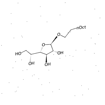 CCCCCCCCCCO[C@@H]1O[C@@H]([C@H](O)CO)[C@H](O)[C@H]1O